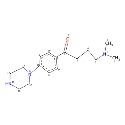 CN(C)CCCC(=O)c1ccc(N2CCNCC2)cc1